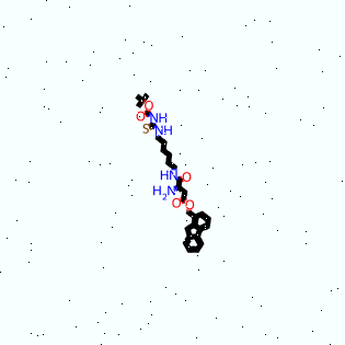 CC(C)(C)OC(=O)NC(=S)NCCCCCCNC(=O)C(N)CC(=O)OCc1cccc2c1Cc1ccccc1-2